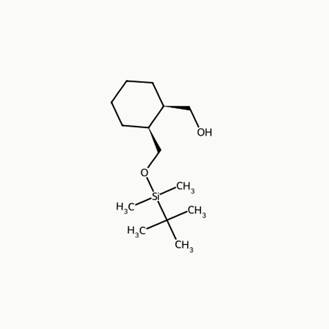 CC(C)(C)[Si](C)(C)OC[C@H]1CCCC[C@H]1CO